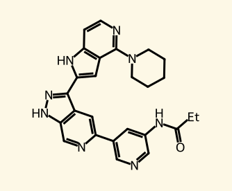 CCC(=O)Nc1cncc(-c2cc3c(-c4cc5c(N6CCCCC6)nccc5[nH]4)n[nH]c3cn2)c1